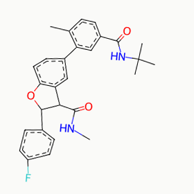 CNC(=O)C1c2cc(-c3cc(C(=O)NC(C)(C)C)ccc3C)ccc2OC1c1ccc(F)cc1